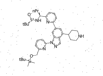 CCC[C@H](N[S@+]([O-])C(C)(C)C)c1cccc(-c2cc(C3CCNCC3)c3cnn(-c4cccc(CO[Si](C)(C)C(C)(C)C)n4)c3c2)n1